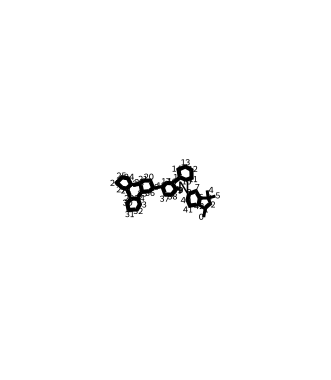 CC1=CC(C)(C)c2cc(-n3c4ccccc4c4cc(-c5ccc6c7ccccc7c7ccccc7c6c5)ccc43)ccc21